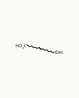 CCCCCCCCCCCCCCCCC=CCCCCCCC(=O)O